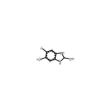 Nc1cc2c(cc1Cl)NC(C=O)N2